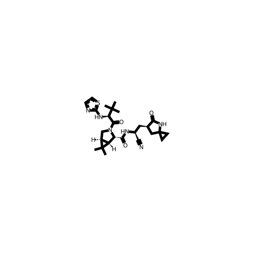 CC(C)(C)[C@H](Nc1nccs1)C(=O)N1C[C@H]2[C@@H]([C@H]1C(=O)N[C@H](C#N)C[C@@H]1CC3(CC3)NC1=O)C2(C)C